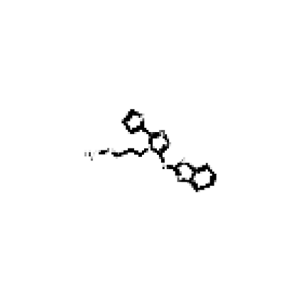 COCCCn1c(Sc2nc3ccccc3s2)nnc1-c1cccs1